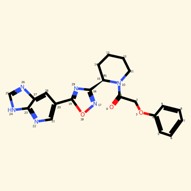 O=C(COc1ccccc1)N1CCCC[C@@H]1c1noc(-c2cnc3[nH]cnc3c2)n1